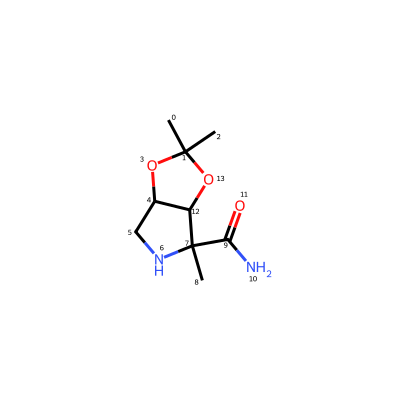 CC1(C)OC2CNC(C)(C(N)=O)C2O1